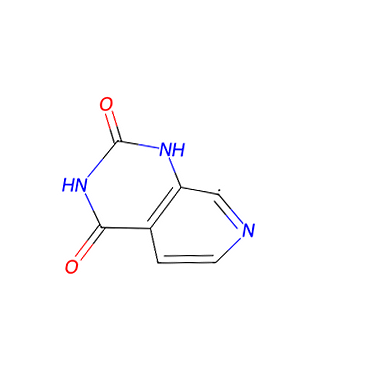 O=c1[nH]c(=O)c2ccn[c]c2[nH]1